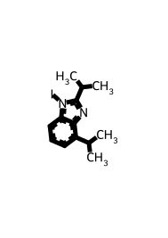 CC(C)c1cccc2c1nc(C(C)C)n2I